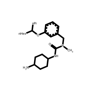 CCCCCCC(CCC)Oc1cccc(CN(C)C(=O)NC2CCC(N)CC2)c1